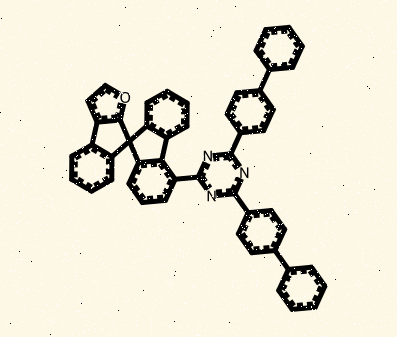 c1ccc(-c2ccc(-c3nc(-c4ccc(-c5ccccc5)cc4)nc(-c4cccc5c4-c4ccccc4C54c5ccccc5-c5ccoc54)n3)cc2)cc1